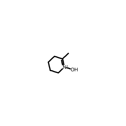 CC1=[N+](O)CCCC1